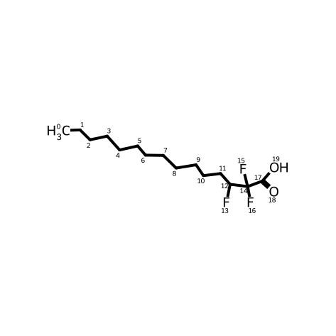 CCCCCCCCCCCCC(F)C(F)(F)C(=O)O